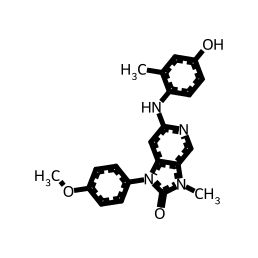 COc1ccc(-n2c(=O)n(C)c3cnc(Nc4ccc(O)cc4C)cc32)cc1